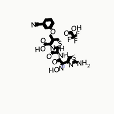 N#Cc1cccc(OCC2=C(C(=O)O)N3C(=O)C(NC(=O)/C(=N\O)c4csc(N)n4)[C@H]3SC2)c1.O=C(O)C(F)(F)F